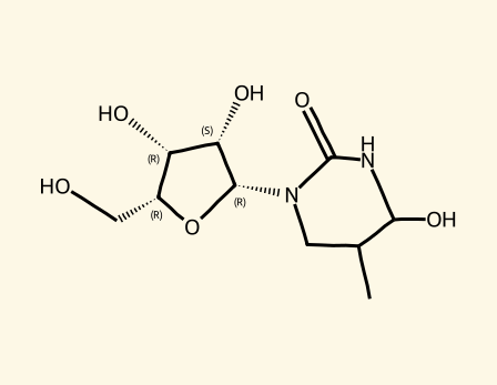 CC1CN([C@@H]2O[C@H](CO)[C@H](O)[C@@H]2O)C(=O)NC1O